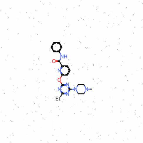 CCc1nc(Oc2cccc(C(=O)Nc3ccccc3)n2)nc(N2CCN(C)CC2)n1